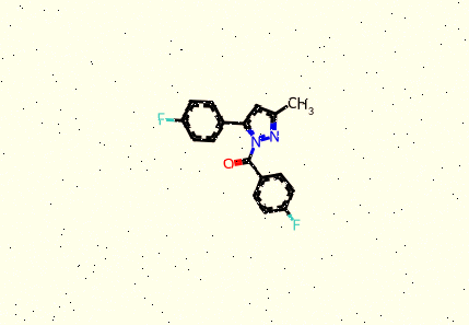 Cc1cc(-c2ccc(F)cc2)n(C(=O)c2ccc(F)cc2)n1